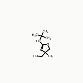 CC1(CO)COC(NC(C)(C)C)=N1